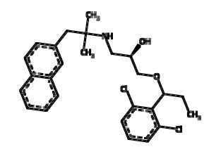 CCC(OC[C@H](O)CNC(C)(C)Cc1ccc2ccccc2c1)c1c(Cl)cccc1Cl